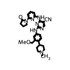 COCc1cc(Nc2ncc(C#N)c(Nc3cccc(N4CCCC4=O)n3)n2)ccc1C1CCN(C)CC1